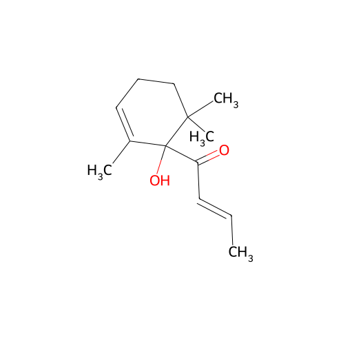 CC=CC(=O)C1(O)C(C)=CCCC1(C)C